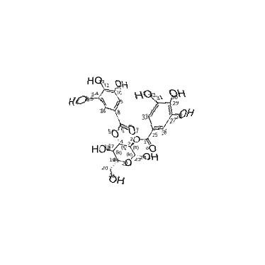 O=C(O[C@@H]1[C@@H](OC(=O)c2cc(O)c(O)c(O)c2)[C@H](O)[C@@H](CO)O[C@H]1O)c1cc(O)c(O)c(O)c1